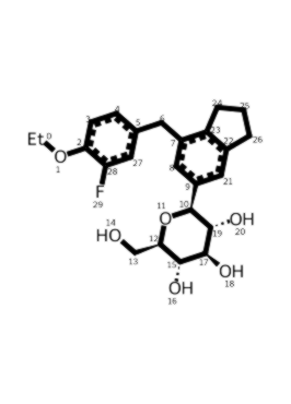 CCOc1ccc(Cc2cc([C@@H]3O[C@H](CO)[C@@H](O)[C@H](O)[C@H]3O)cc3c2CCC3)cc1F